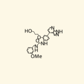 COc1cccc(CNC(=O)Nc2ccc(-c3ccnc4[nH]ncc34)cc2OCCCO)c1